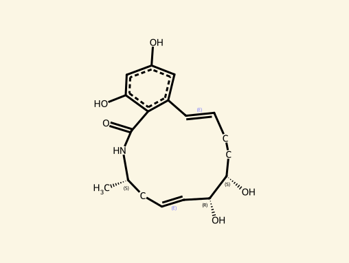 C[C@H]1C/C=C/[C@@H](O)[C@@H](O)CC/C=C/c2cc(O)cc(O)c2C(=O)N1